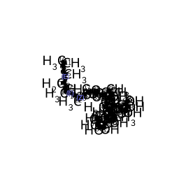 C=C(C/C=C(\C)CCC=C(C)C)CCC(C)(C)/C=C/CC/C(C)=C\CO[C@@H](C)COP(=O)(O)OCC1OC(C)C(C)(O)C(C=O)C1OC1OC(COC2OC(CO)C(O)C(O)C2O)C(OC2OC(C)C(OC3OC(C(C)=O)C(O)C(O)C3O)C(O)C2C)C(O)C1C